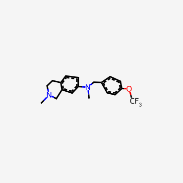 CN1CCc2ccc(N(C)Cc3ccc(OC(F)(F)F)cc3)cc2C1